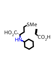 C=CC(=O)O.CSCC[C@H](NC1CCCCC1)C(=O)O